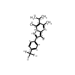 Cc1nc2c(F)c(-c3ccc(C(F)(F)F)cc3)nn2c(Cl)c1C(C)C